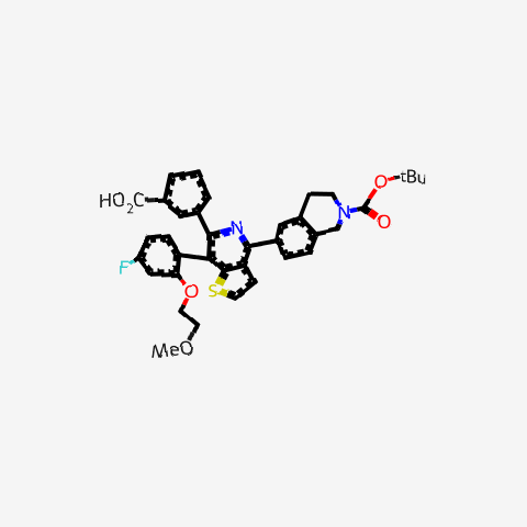 COCCOc1cc(F)ccc1-c1c(-c2cccc(C(=O)O)c2)nc(-c2ccc3c(c2)CCN(C(=O)OC(C)(C)C)C3)c2ccsc12